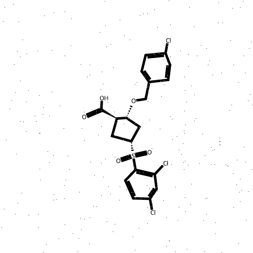 O=C(O)[C@@H]1C[C@@H](S(=O)(=O)c2ccc(Cl)cc2Cl)C[C@H]1OCc1ccc(Cl)cc1